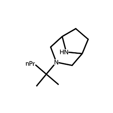 CCCC(C)(C)N1CC2CCC(C1)N2